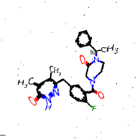 Cc1c(Cc2ccc(F)c(C(=O)N3CCN([C@H](C)c4ccccc4)C(=O)C3)c2)n[nH]c(=O)c1C